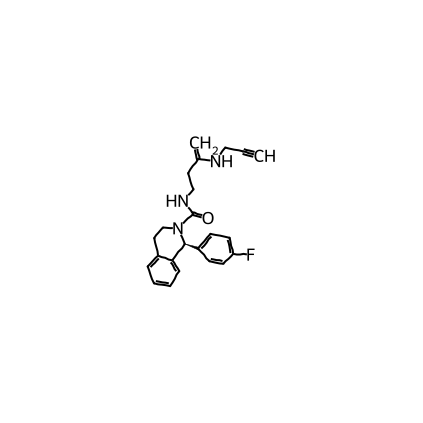 C#CCNC(=C)CCNC(=O)N1CCc2ccccc2[C@@H]1c1ccc(F)cc1